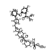 CC(C)N(C(=O)c1cc(F)ccc1Oc1nncnc1N1CC[C@@H](CN2CC3(CCN(S(=O)(=O)N4CCC[C@@H](NC(=O)OC(C)(C)C)C4)CC3)C2)C1)C(C)C